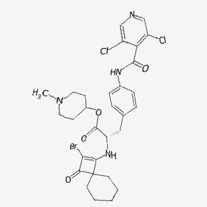 CN1CCC(OC(=O)[C@H](Cc2ccc(NC(=O)c3c(Cl)cncc3Cl)cc2)NC2=C(Br)C(=O)C23CCCCC3)CC1